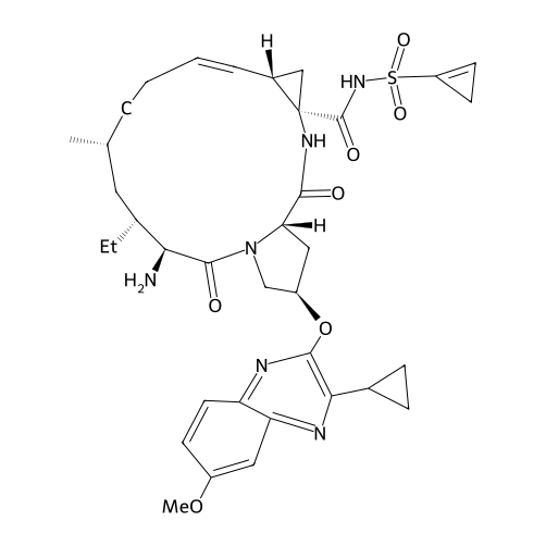 CC[C@@H]1C[C@H](C)CC/C=C\[C@@H]2C[C@@]2(C(=O)NS(=O)(=O)C2=CC2)NC(=O)[C@@H]2C[C@@H](Oc3nc4ccc(OC)cc4nc3C3CC3)CN2C(=O)[C@H]1N